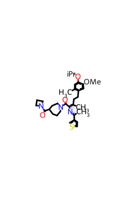 COc1cc(CC/C(C)=C(/N=C(\C)c2ccsc2)C(=O)N2CCCC(C(=O)N3CCC3)CC2)c(C)cc1OC(C)C